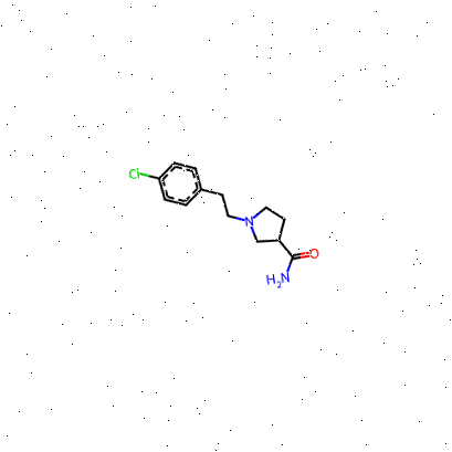 NC(=O)C1CCN(CCc2ccc(Cl)cc2)C1